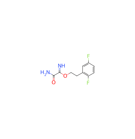 N=C(OCCc1cc(F)ccc1F)C(N)=O